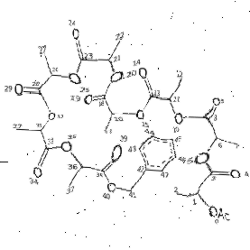 CC(=O)OC(C)C(=O)OC(C)C(=O)OC(C)C(=O)OC(C)C(=O)OC(C)C(=O)OC(C)C(=O)OC(C)C(=O)OC(C)C(=O)OCc1ccccc1